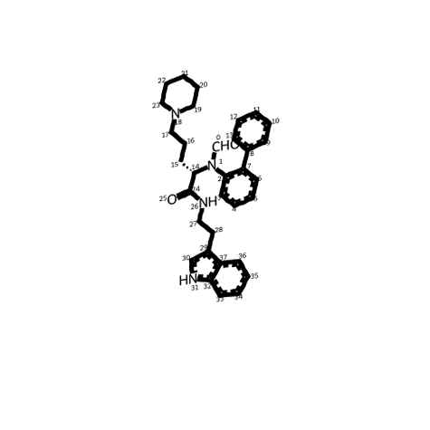 O=CN(c1ccccc1-c1ccccc1)[C@@H](CCCN1CCCCC1)C(=O)NCCc1c[nH]c2ccccc12